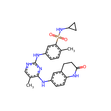 Cc1ccc(Nc2ncc(C)c(Nc3ccc4c(c3)CCC(=O)N4)n2)cc1S(=O)(=O)NC1CC1